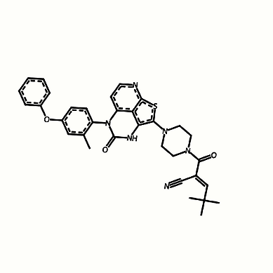 Cc1cc(Oc2ccccc2)ccc1N1C(=O)Nc2c(N3CCN(C(=O)/C(C#N)=C/C(C)(C)C)CC3)sc3nccc1c23